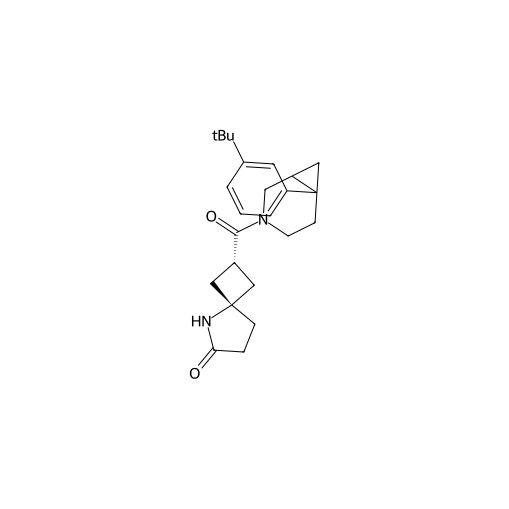 CC(C)(C)c1cccc(C23CCN(C(=O)[C@H]4C[C@]5(CCC(=O)N5)C4)CC2C3)c1